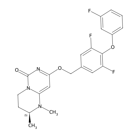 C[C@H]1CCn2c(cc(OCc3cc(F)c(Oc4cccc(F)c4)c(F)c3)nc2=O)N1C